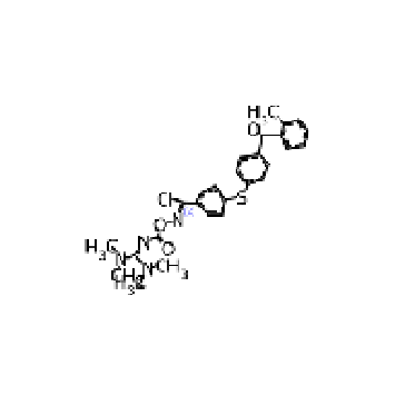 Cc1ccccc1C(=O)c1ccc(Sc2ccc(/C(Cl)=N/OC(=O)N=C(N(C)C)N(C)C)cc2)cc1